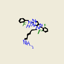 NCCCCCCn1c(-c2c(F)cccc2F)nc2cnc(NCc3ccccc3F)nc21